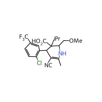 COCC1NC(C)=C(C#N)C(c2cc(C(F)(F)F)ccc2Cl)C1(C(=O)O)C(C)C